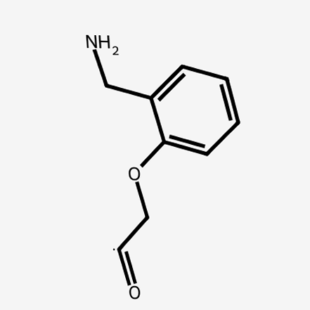 NCc1ccccc1OC[C]=O